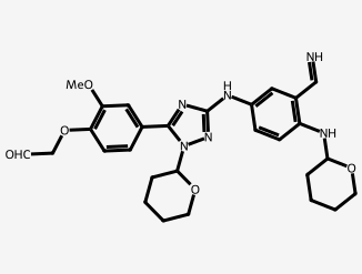 COc1cc(-c2nc(Nc3ccc(NC4CCCCO4)c(C=N)c3)nn2C2CCCCO2)ccc1OCC=O